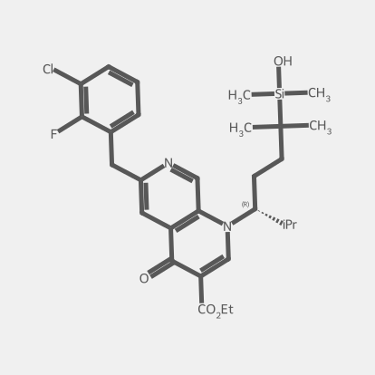 CCOC(=O)c1cn([C@H](CCC(C)(C)[Si](C)(C)O)C(C)C)c2cnc(Cc3cccc(Cl)c3F)cc2c1=O